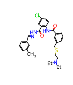 CCN(CC)CCSCc1cccc(C(=O)Nc2ccc(Cl)cc2C(=O)NN=Cc2cccc(C)c2)c1